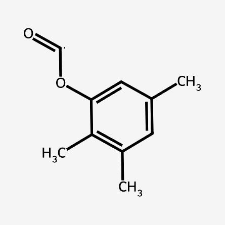 Cc1cc(C)c(C)c(O[C]=O)c1